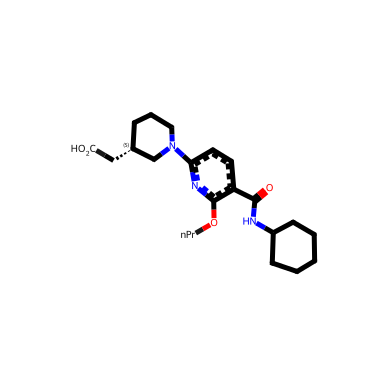 CCCOc1nc(N2CCC[C@@H](CC(=O)O)C2)ccc1C(=O)NC1CCCCC1